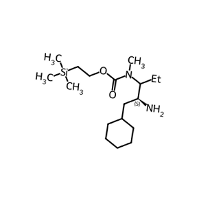 CCC([C@@H](N)CC1CCCCC1)N(C)C(=O)OCC[Si](C)(C)C